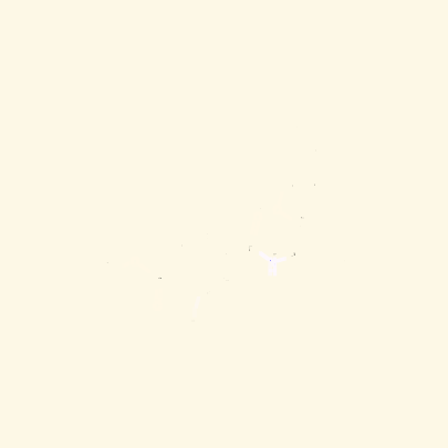 COC(=O)c1ccc(C(=O)Nc2ccccc2Oc2ccccc2)cc1I